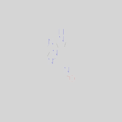 CC1CCN(C(=O)CC2CCC2)CC1c1ncc2cnc3[nH]ccc3n12